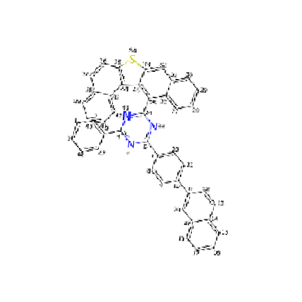 c1ccc(-c2nc(-c3ccc(-c4ccc5ccccc5c4)cc3)nc(-c3c4ccccc4cc4sc5ccc6ccccc6c5c34)n2)cc1